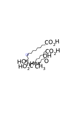 CCCCC(=O)O.CCCCCC[C@@H](O)C/C=C\CCCCCCCC(=O)O.O=C(O)CCCCCCCC(=O)O